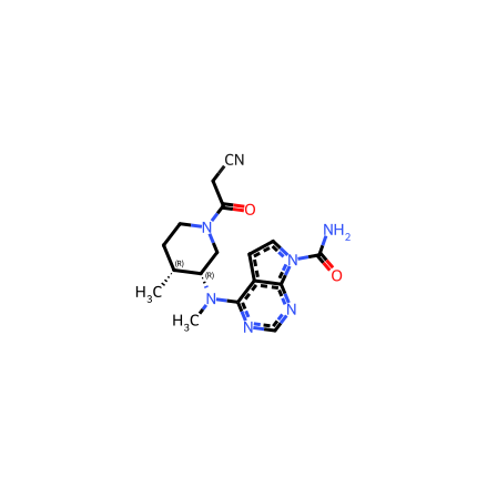 C[C@@H]1CCN(C(=O)CC#N)C[C@@H]1N(C)c1ncnc2c1ccn2C(N)=O